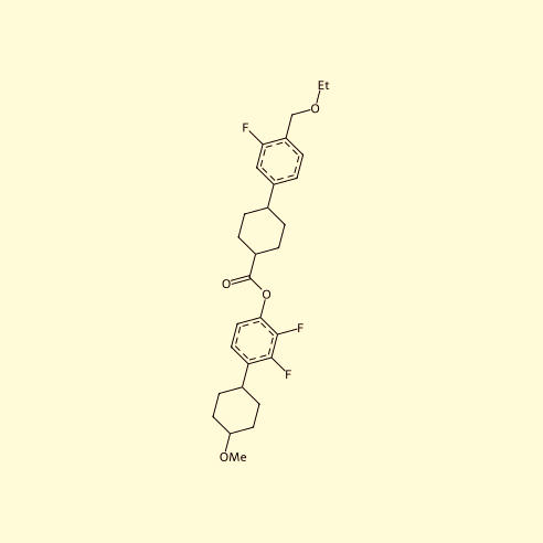 CCOCc1ccc(C2CCC(C(=O)Oc3ccc(C4CCC(OC)CC4)c(F)c3F)CC2)cc1F